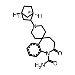 NC(=O)N1C(=O)CCC2(CCN(C3C[C@@H]4CC[C@@H]3C4)CC2)c2ccccc21